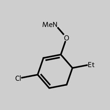 CCC1CC=C(Cl)C=C1ONC